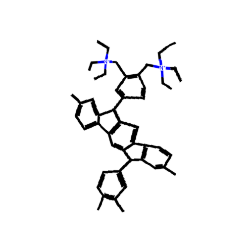 CC[N+](CC)(CC)Cc1ccc(C2c3cc(C)ccc3-c3cc4c(cc32)-c2ccc(C)cc2C4c2ccc(C)c(C)c2)cc1C[N+](CC)(CC)CC